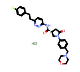 Cl.O=C(Nc1ccc(CCc2ccc(F)cc2)nn1)[C@H]1CC(=O)N(c2ccc(CN3CCOCC3)cc2)C1